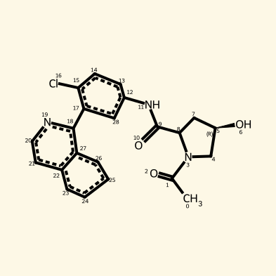 CC(=O)N1C[C@H](O)CC1C(=O)Nc1ccc(Cl)c(-c2nccc3ccccc23)c1